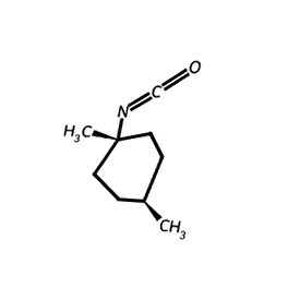 C[C@H]1CC[C@](C)(N=C=O)CC1